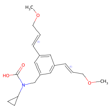 COC/C=C/c1cc(/C=C/COC)cc(CN(C(=O)O)C2CC2)c1